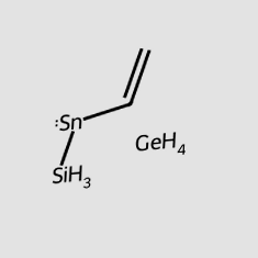 C=[CH][Sn][SiH3].[GeH4]